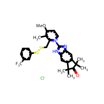 COc1cc[n+](-c2nc3cc4c(cc3[nH]2)C(C)(C)C(=O)C4(C)C)c(CSSc2cccc(C(F)(F)F)c2)c1C.[Cl-]